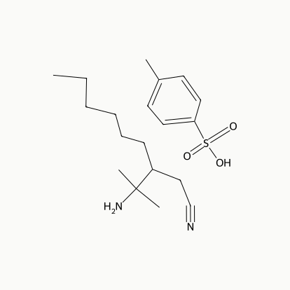 CCCCCCC(CC#N)C(C)(C)N.Cc1ccc(S(=O)(=O)O)cc1